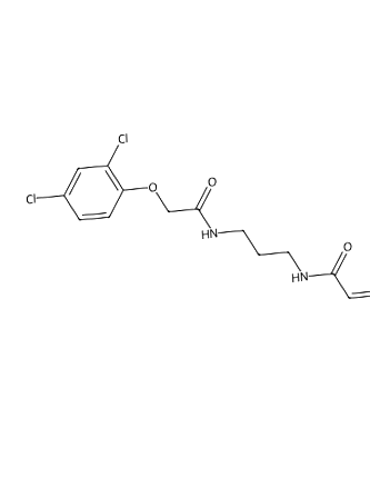 C=CC(=O)NCCCNC(=O)COc1ccc(Cl)cc1Cl